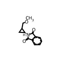 COCC1C[C@H]1N1C(=O)c2ccccc2C1=O